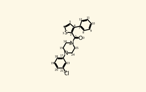 O=C(c1sccc1-c1ccccc1)N1CCN(c2cccc(Cl)c2)CC1